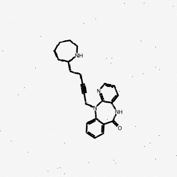 O=C1Nc2cccnc2N(CC#CCCC2CCCCCN2)c2ccccc21